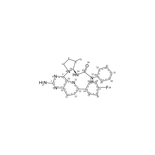 CC1CCN(c2nc(N)nc3ccc(-c4ccc(F)cc4)nc23)[C@@H]1NC(=O)Nc1ccccc1